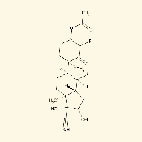 C#CC1(O)C(O)C[C@H]2[C@@H]3CC=C4C(F)C(OC(C)=O)CC[C@]4(C)[C@@H]3CC[C@@]21C